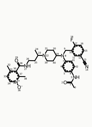 CC(=O)Nc1ccc(N(Cc2cc(C#N)ccc2F)C2CCN(C(C)CCNC(=O)c3c(C)cc[n+]([O-])c3C)CC2)cc1